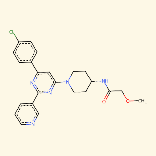 COCC(=O)NC1CCN(c2cc(-c3ccc(Cl)cc3)nc(-c3cccnc3)n2)CC1